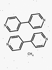 C.c1cc(-c2ccncc2)ccn1.c1cc(-c2ccncc2)ccn1